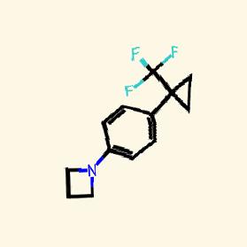 FC(F)(F)C1(c2ccc(N3CCC3)cc2)CC1